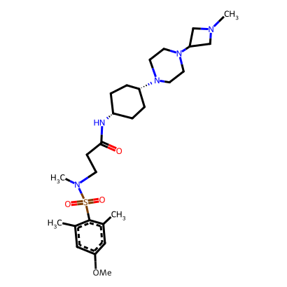 COc1cc(C)c(S(=O)(=O)N(C)CCC(=O)N[C@H]2CC[C@@H](N3CCN(C4CN(C)C4)CC3)CC2)c(C)c1